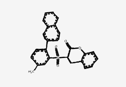 Cc1ccc(-c2ccc3ccccc3c2)c(S(=O)(=O)C2Cc3ccccc3OC2=O)c1